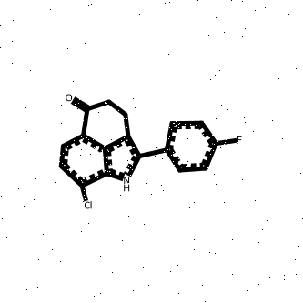 O=C1CCc2c(-c3ccc(F)cc3)[nH]c3c(Cl)ccc1c23